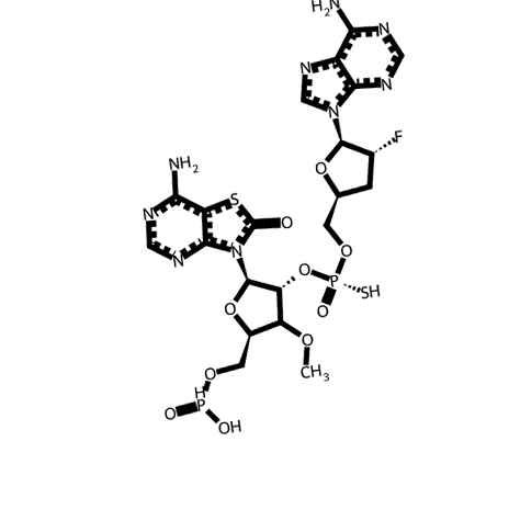 COC1[C@@H](O[P@@](=O)(S)OC[C@@H]2C[C@@H](F)[C@H](n3cnc4c(N)ncnc43)O2)[C@H](n2c(=O)sc3c(N)ncnc32)O[C@@H]1CO[PH](=O)O